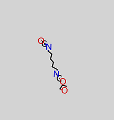 C1COC1.O=C=NCCCCCCN=C=O